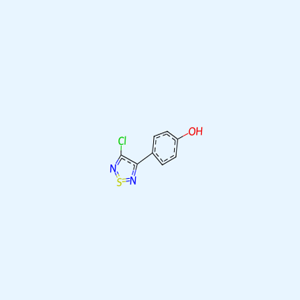 Oc1ccc(-c2nsnc2Cl)cc1